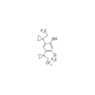 Oc1cc(OC(F)(F)F)c(C2(CC(F)(F)F)CC2)cc1C1(CC(F)(F)F)CC1